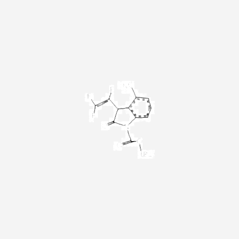 Cc1cccc2c1C(C(F)=C(F)F)C(=O)N2C(=O)OC(C)(C)C